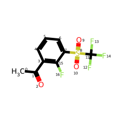 CC(=O)c1cccc(S(=O)(=O)C(F)(F)F)c1F